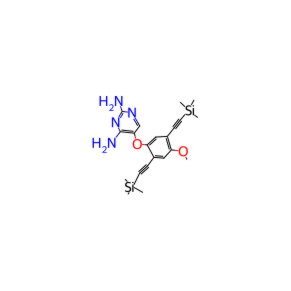 COc1cc(C#C[Si](C)(C)C)c(Oc2cnc(N)nc2N)cc1C#C[Si](C)(C)C